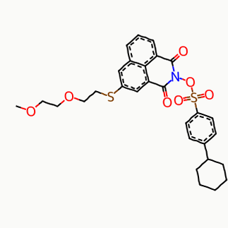 COCCOCCSc1cc2c3c(cccc3c1)C(=O)N(OS(=O)(=O)c1ccc(C3CCCCC3)cc1)C2=O